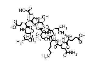 CC[C@H](C)[C@H](NC(=O)[C@H](CC(C)C)NC(=O)[C@H](CCCCN)NC(=O)[C@H](CCC(N)=O)NC(=O)[C@@H](N)CCC(=O)O)C(=O)N[C@@H](CO)C(=O)N[C@@H](CCC(=O)O)C(=O)N[C@@H](CCC(=O)O)C(=O)N[C@@H](CC(C)C)C(=O)O